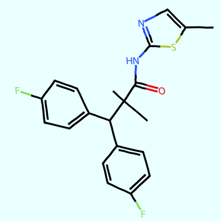 Cc1cnc(NC(=O)C(C)(C)C(c2ccc(F)cc2)c2ccc(F)cc2)s1